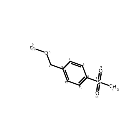 CCOCc1ccc(S(C)(=O)=O)cc1